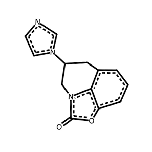 O=c1oc2cccc3c2n1CC(n1ccnc1)C3